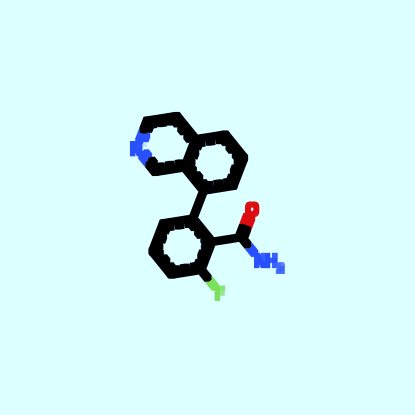 NC(=O)c1c(F)cccc1-c1cccc2ccncc12